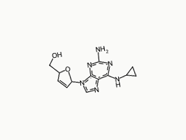 Nc1nc(NC2CC2)c2ncn(C3C=CC(CO)O3)c2n1